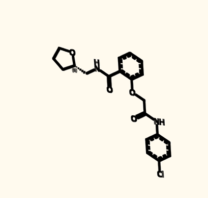 O=C(COc1ccccc1C(=O)NC[C@@H]1CCCO1)Nc1ccc(Cl)cc1